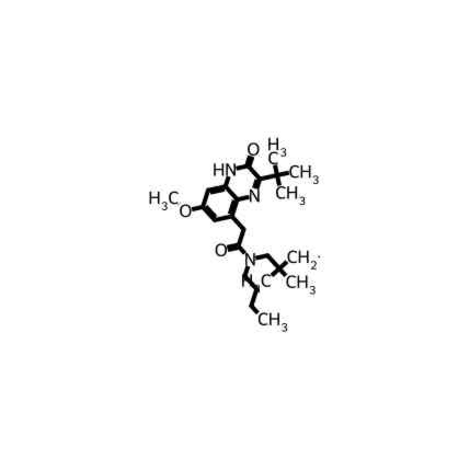 [CH2]C(C)(C)CN(CCCC)C(=O)Cc1cc(OC)cc2[nH]c(=O)c(C(C)(C)C)nc12